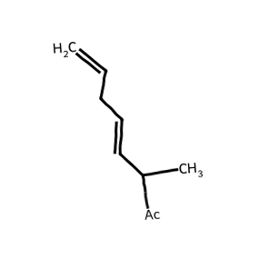 C=CCC=CC(C)C(C)=O